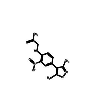 CC(=O)CNc1ccc(-c2c(C)noc2C)cc1[N+](=O)[O-]